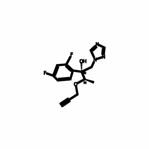 C#CCO[C@H](C)[C@](O)(Cn1cncn1)c1ccc(F)cc1F